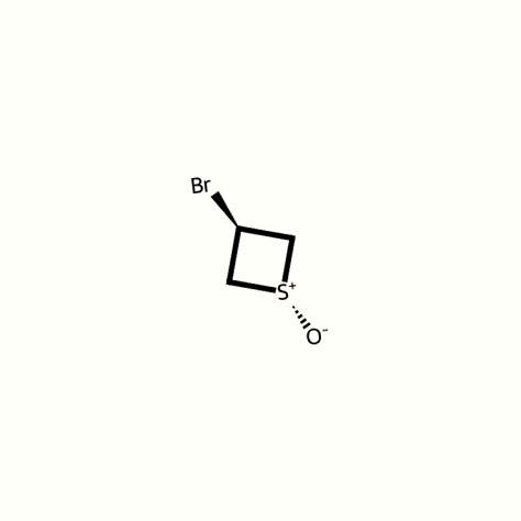 [O-][S@+]1C[C@@H](Br)C1